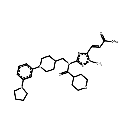 COC(=O)/C=C/c1nc(N(CC2CCN(c3cccc(N4CCCC4)c3)CC2)C(=O)C2CCOCC2)nn1C